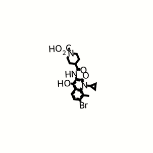 Cc1c(Br)ccc2c(O)c(NC(=O)C3CCN(C(=O)O)CC3)c(=O)n(C3CC3)c12